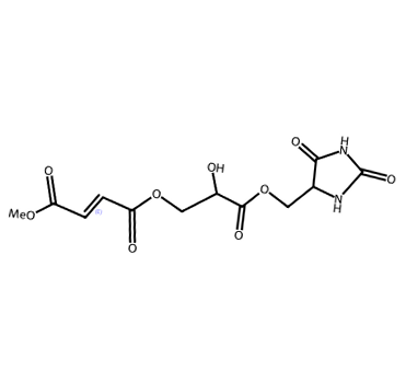 COC(=O)/C=C/C(=O)OCC(O)C(=O)OCC1NC(=O)NC1=O